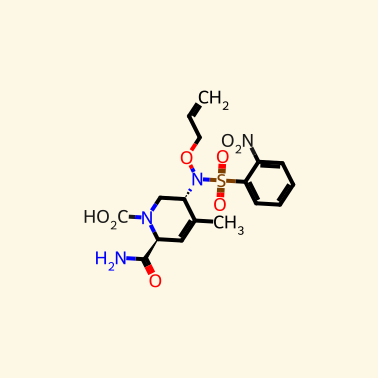 C=CCON([C@H]1CN(C(=O)O)[C@H](C(N)=O)C=C1C)S(=O)(=O)c1ccccc1[N+](=O)[O-]